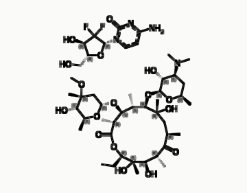 CC[C@H]1OC(=O)[C@H](C)[C@@H](O[C@H]2C[C@@](C)(OC)[C@@H](O)[C@H](C)O2)[C@H](C)[C@@H](O[C@@H]2O[C@H](C)C[C@H](N(C)C)[C@H]2O)[C@](C)(O)C[C@@H](C)C(=O)[C@H](C)[C@@H](O)[C@]1(C)O.Nc1ccn([C@@H]2O[C@H](CO)[C@@H](O)C2(F)F)c(=O)n1